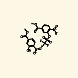 COC(=O)c1ccc([N+](=O)[O-])c(O)c1.COC(=O)c1ccc([N+](=O)[O-])c(OS(=O)(=O)C(F)(F)F)c1